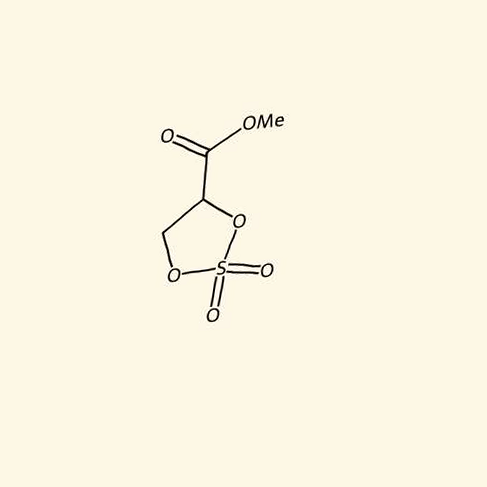 COC(=O)C1COS(=O)(=O)O1